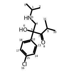 CC(C)NCC(O)(C(=O)C(C)C)c1ccc(Cl)cc1